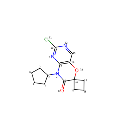 O=C1N(C2CCCC2)c2nc(Cl)ncc2OC12CCC2